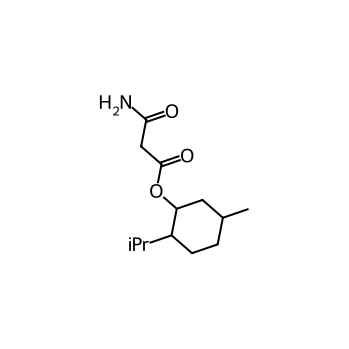 CC1CCC(C(C)C)C(OC(=O)CC(N)=O)C1